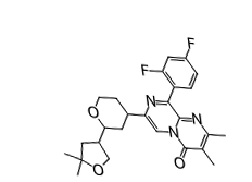 Cc1nc2c(-c3ccc(F)cc3F)nc(C3CCOC(C4COC(C)(C)C4)C3)cn2c(=O)c1C